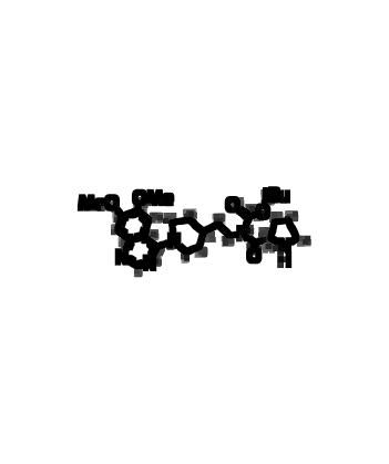 COc1cc2ncnc(N3CCC(CCN(C(=O)OC(C)(C)C)C(=O)[C@H]4CCCN4)CC3)c2cc1OC